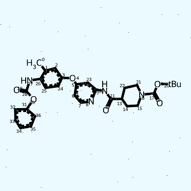 Cc1cc(Oc2ccnc(NC(=O)C3CCN(C(=O)OC(C)(C)C)CC3)c2)ccc1NC(=O)Oc1ccccc1